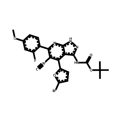 [C-]#[N+]c1c(-c2ccc(OC)cc2F)nc2[nH]nc(NC(=O)OC(C)(C)C)c2c1-c1ccc(Br)o1